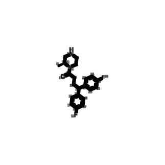 C[C@H]1CNCCN1C(=O)CCC(c1ccc(F)cc1)c1ccc(F)cc1